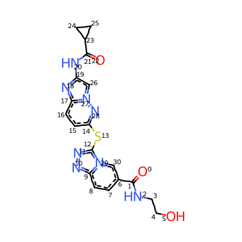 O=C(NCCO)c1ccc2nnc(Sc3ccc4nc(NC(=O)C5CC5)cn4n3)n2c1